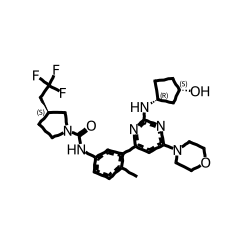 Cc1ccc(NC(=O)N2CC[C@@H](CC(F)(F)F)C2)cc1-c1cc(N2CCOCC2)nc(N[C@@H]2CC[C@H](O)C2)n1